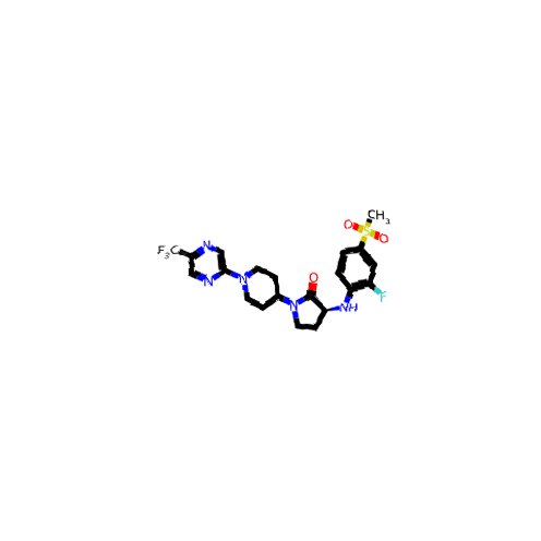 CS(=O)(=O)c1ccc(N[C@H]2CCN(C3CCN(c4cnc(C(F)(F)F)cn4)CC3)C2=O)c(F)c1